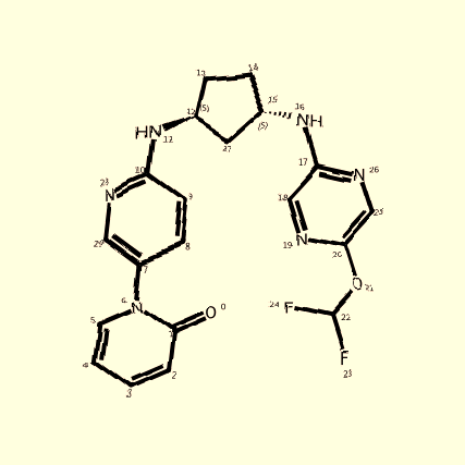 O=c1ccccn1-c1ccc(N[C@H]2CC[C@H](Nc3cnc(OC(F)F)cn3)C2)nc1